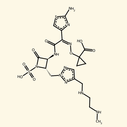 CNCCNCc1cnn(C[C@H]2[C@H](NC(=O)C(=NOC3(C(=O)O)CC3)c3csc(N)n3)C(=O)N2S(=O)(=O)O)n1